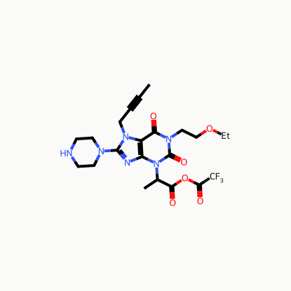 CC#CCn1c(N2CCNCC2)nc2c1c(=O)n(CCOCC)c(=O)n2C(C)C(=O)OC(=O)C(F)(F)F